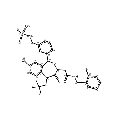 CC(C)(C)CN1C(=O)C(CC(=O)NCc2ccccc2F)OC(c2cccc(CNS(C)(=O)=O)c2)c2cc(Cl)ccc21